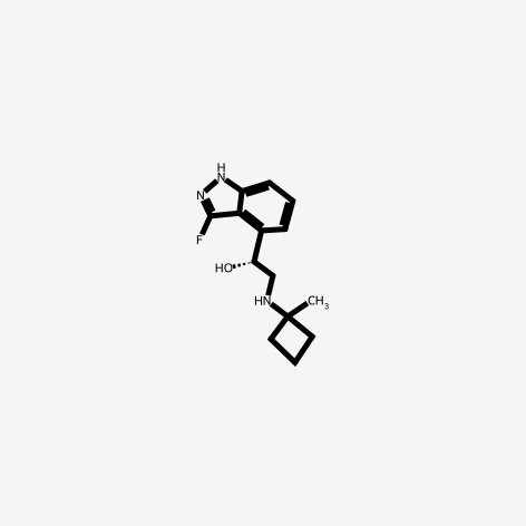 CC1(NC[C@H](O)c2cccc3[nH]nc(F)c23)CCC1